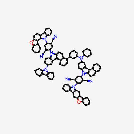 N#Cc1cc(-n2c3ccc(N(c4ccccc4)c4cccc(-c5cccc6c5ccc5c6c6cc(-n7c8ccccc8c8ccccc87)ccc6n5-c5cc(C#N)c(-n6c7ccccc7c7ccc8oc9ccccc9c8c76)cc5C#N)c4)cc3c3c4ccccc4ccc32)c(C#N)cc1-n1c2ccccc2c2cc3oc4ccccc4c3cc21